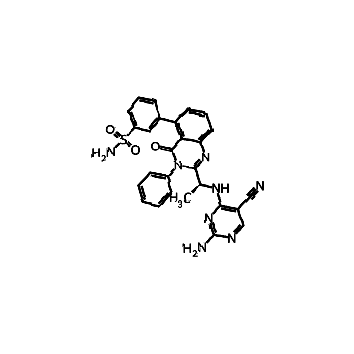 C[C@H](Nc1nc(N)ncc1C#N)c1nc2cccc(-c3cccc(S(N)(=O)=O)c3)c2c(=O)n1-c1ccccc1